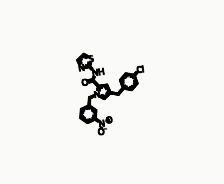 O=C(Nc1nccs1)c1cc(Cc2ccc(Cl)cc2)cn1Cc1cccc([N+](=O)[O-])c1